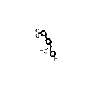 COC(=O)c1cccc(-c2ccc(C=C(CO)c3ccc(F)cc3)cc2)c1